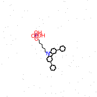 O=P(O)(O)OCCCCCCn1c2ccc(-c3ccccc3)cc2c2cc(-c3ccccc3)ccc21